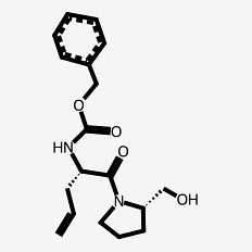 C=CC[C@H](NC(=O)OCc1ccccc1)C(=O)N1CCC[C@H]1CO